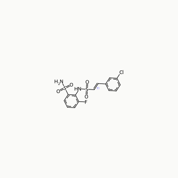 NS(=O)(=O)c1cccc(F)c1NS(=O)(=O)/C=C/c1cccc(Cl)c1